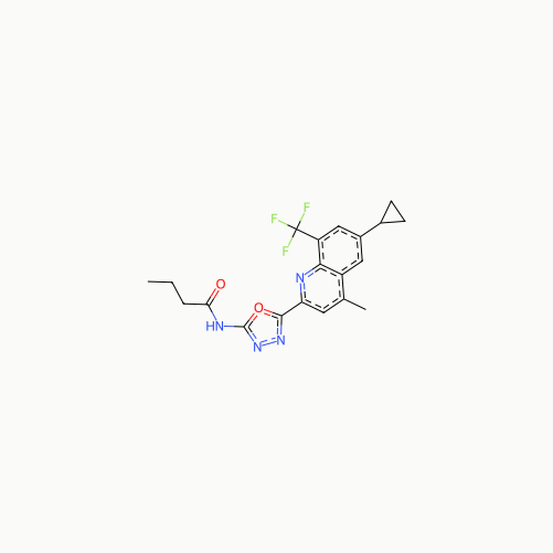 CCCC(=O)Nc1nnc(-c2cc(C)c3cc(C4CC4)cc(C(F)(F)F)c3n2)o1